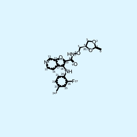 C=C1OC[C@H](CONC(=O)c2oc3cnccc3c2Nc2ccc(I)cc2F)O1